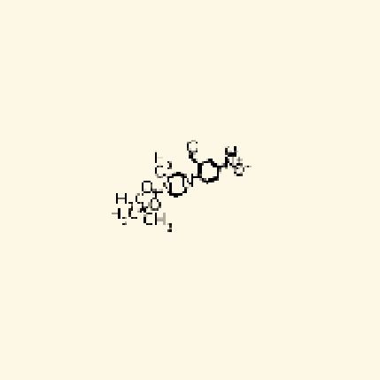 C[C@@H]1CN(c2ccc([N+](=O)[O-])cc2C=O)CCN1C(=O)OC(C)(C)C